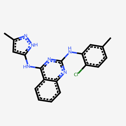 Cc1ccc(Cl)c(Nc2nc(Nc3cc(C)n[nH]3)c3ccccc3n2)c1